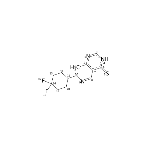 Cc1nc[nH]c(=S)c1/C=N\CC1CCC(F)(F)CC1